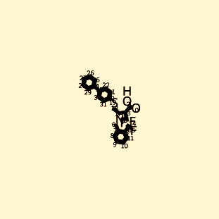 O=C(O)C1CN(Cc2ccccc2C(F)(F)F)C1CSc1ccc(-c2ccccc2)cc1